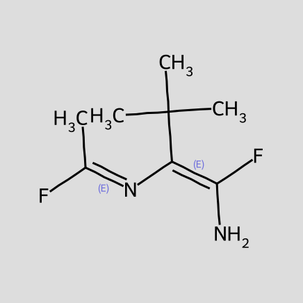 C/C(F)=N\C(=C(/N)F)C(C)(C)C